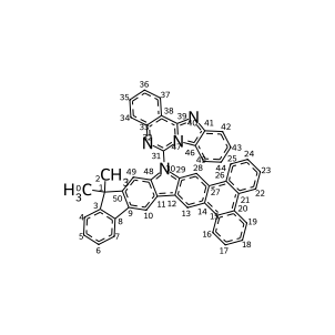 CC1(C)c2ccccc2-c2cc3c4cc5c6ccccc6c6ccccc6c5cc4n(-c4nc5ccccc5c5nc6ccccc6n45)c3cc21